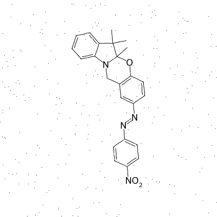 CC1(C)c2ccccc2N2Cc3cc(N=Nc4ccc([N+](=O)[O-])cc4)ccc3OC21C